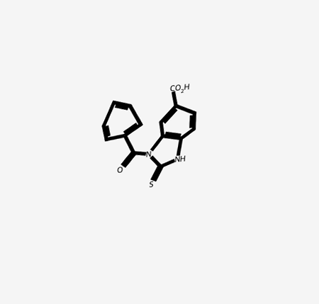 O=C(O)c1ccc2[nH]c(=S)n(C(=O)c3ccccc3)c2c1